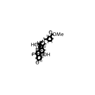 COC(=O)c1cccc(CN2C[C@@H]3C[C@H]4[C@@H]5C[C@H](F)C6=CC(=O)C=C[C@]6(C)[C@@]5(F)[C@@H](O)C[C@]4(C)[C@]3(C(=O)CO)C2)c1